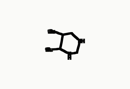 CC(C)(C)C1CNCNC1C(C)(C)C